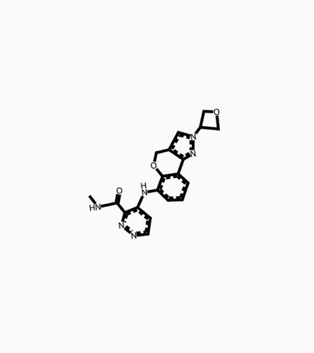 CNC(=O)c1nnccc1Nc1cccc2c1OCc1cn(C3COC3)nc1-2